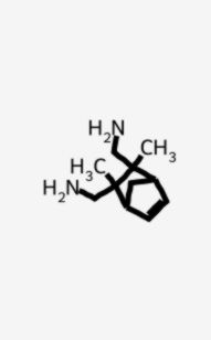 CC1(CN)C2C=CC(C2)C1(C)CN